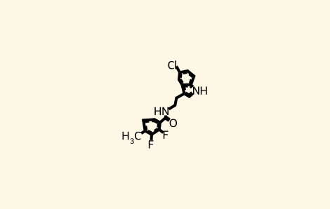 Cc1ccc(C(=O)NCCc2c[nH]c3ccc(Cl)cc23)c(F)c1F